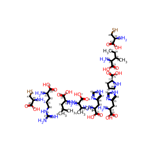 CC(C)C(N)C(=O)O.CC(C)CC(N)C(=O)O.CCC(C)C(N)C(=O)O.N=C(N)NCCCC(N)C(=O)O.NC(CS)C(=O)O.NC(CS)C(=O)O.NC(Cc1c[nH]cn1)C(=O)O.NC(Cc1c[nH]cn1)C(=O)O.O=C(O)[C@@H]1CCCN1